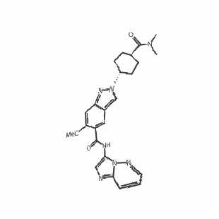 COc1cc2nn([C@H]3CC[C@H](C(=O)N(C)C)CC3)cc2cc1C(=O)Nc1cnc2cccnn12